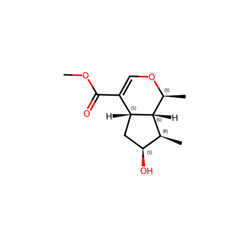 COC(=O)C1=CO[C@@H](C)[C@@H]2[C@@H](C)[C@@H](O)C[C@H]12